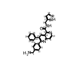 NCc1ccc(-c2nc3ccnc(C(=O)NCc4ccn[nH]4)c3cc2-c2ccccc2)cc1